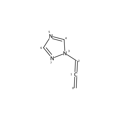 C=C=Cn1cncn1